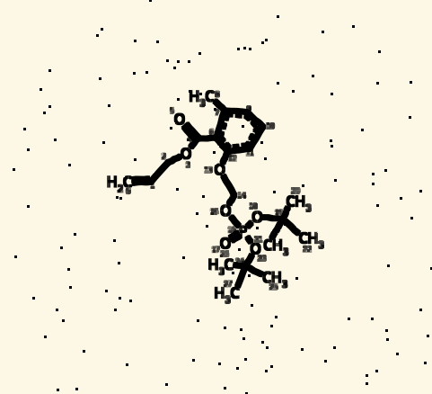 C=CCOC(=O)c1c(C)cccc1OCOP(=O)(OC(C)(C)C)OC(C)(C)C